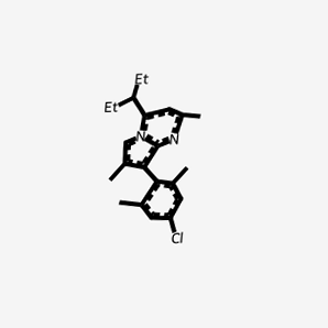 [CH2]CC(CC)c1cc(C)nc2c(-c3c(C)cc(Cl)cc3C)c(C)cn12